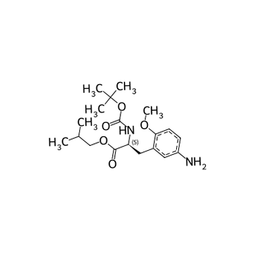 COc1ccc(N)cc1C[C@H](NC(=O)OC(C)(C)C)C(=O)OCC(C)C